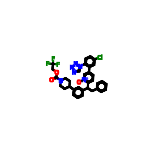 O=C(OCC(F)(F)F)N1CCC(c2cccc(C(Cc3ccccc3)c3ccc(-c4cc(Cl)ccc4-n4cnnn4)c[n+]3[O-])c2)CC1